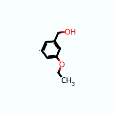 CCOc1c[c]cc(CO)c1